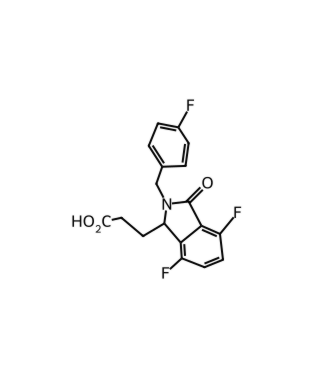 O=C(O)CCC1c2c(F)ccc(F)c2C(=O)N1Cc1ccc(F)cc1